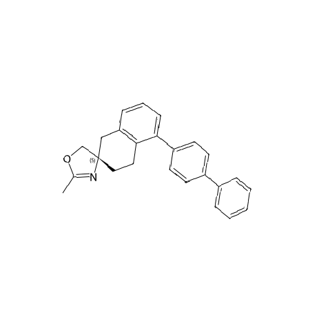 CC1=N[C@]2(CCc3c(cccc3-c3ccc(-c4ccccc4)cc3)C2)CO1